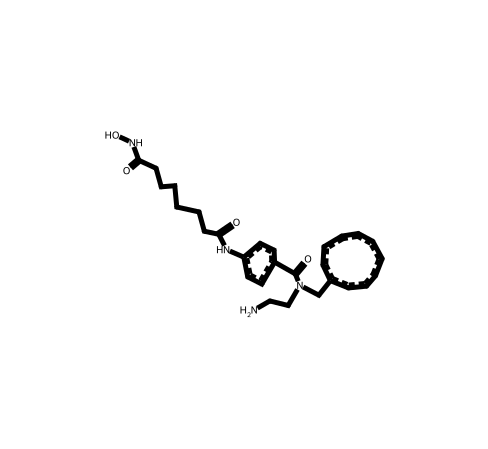 NCCN(Cc1ccccccccc1)C(=O)c1ccc(NC(=O)CCCCCCC(=O)NO)cc1